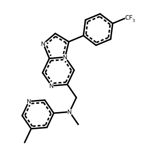 Cc1cncc(N(C)Cc2cn3c(-c4ccc(C(F)(F)F)cc4)cnc3cn2)c1